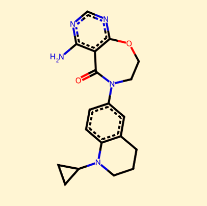 Nc1ncnc2c1C(=O)N(c1ccc3c(c1)CCCN3C1CC1)CCO2